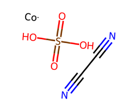 N#CC#N.O=S(=O)(O)O.[Co]